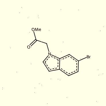 COC(=O)Cn1ccc2ccc(Br)cc21